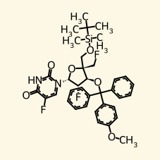 COc1ccc(C(O[C@H]2[C@H](F)[C@H](n3cc(F)c(=O)[nH]c3=O)O[C@]2(CF)CO[Si](C)(C)C(C)(C)C)(c2ccccc2)c2ccccc2)cc1